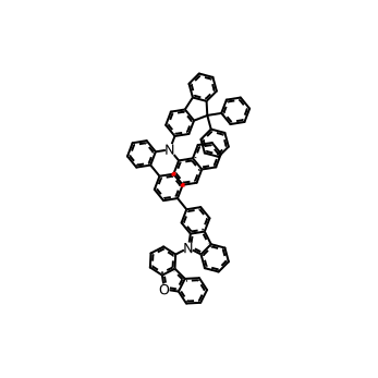 c1ccc(C2(c3ccccc3)c3ccccc3-c3ccc(N(c4ccccc4-c4ccc(-c5ccc6c7ccccc7n(-c7cccc8oc9ccccc9c78)c6c5)cc4)c4cccc5ccccc45)cc32)cc1